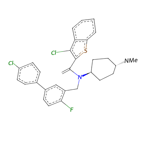 C=C(c1sc2ccccc2c1Cl)N(Cc1cc(-c2ccc(Cl)cc2)ccc1F)[C@H]1CC[C@H](NC)CC1